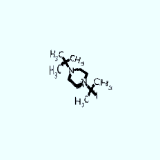 CC(C)(C)N1CCN(C(C)(C)I)CC1